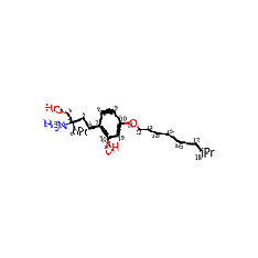 CCC[C@@](N)(CO)CCc1ccc(OCCCCCCC(C)C)cc1O